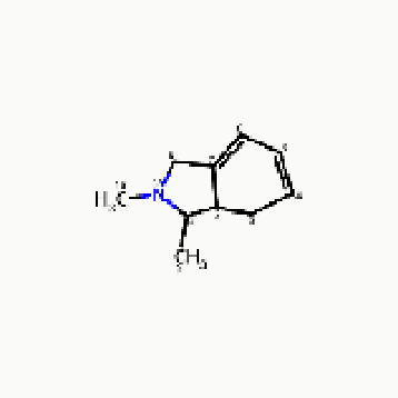 CC1C2CC=CC=C2CN1C